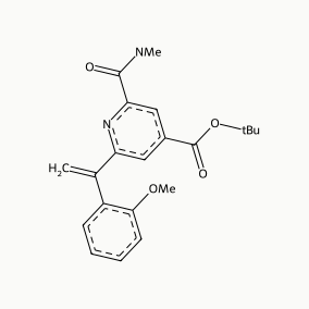 C=C(c1cc(C(=O)OC(C)(C)C)cc(C(=O)NC)n1)c1ccccc1OC